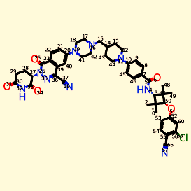 CC1(C)[C@H](NC(=O)c2ccc(N3CCC(CN4CCN(c5ccc6c(=O)n([C@@H]7CCC(=O)NC7=O)nc(C#N)c6c5)CC4)CC3)cc2)C(C)(C)[C@H]1Oc1ccc(C#N)c(Cl)c1